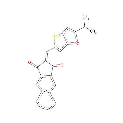 CC(C)c1cc2sc(C=C3C(=O)c4cc5ccccc5cc4C3=O)cc2o1